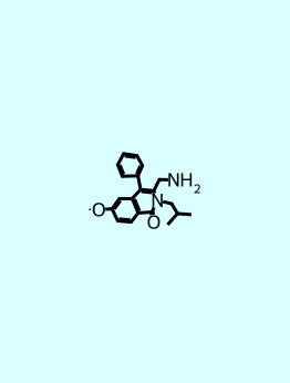 CC(C)Cn1c(CN)c(-c2ccccc2)c2cc([O])ccc2c1=O